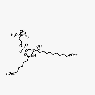 CCCCCCCCCCCCCCCCCCC[C@@H](O)[C@H](COP(=O)([O-])OCC[N+](C)(C)C)NC(=O)CCCCCCCCCCCCCCC